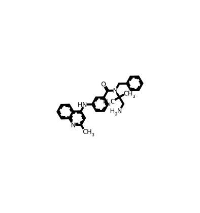 Cc1cc(Nc2cccc(C(=O)N(Cc3ccccc3)C(C)(C)CN)c2)c2ccccc2n1